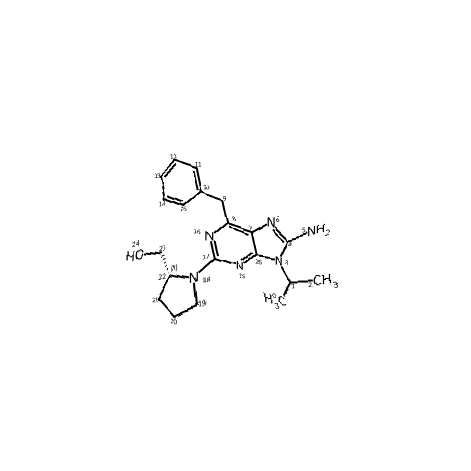 CC(C)n1c(N)nc2c(Cc3ccccc3)nc(N3CCC[C@@H]3CO)nc21